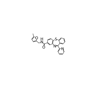 Cc1ccc(CNC(=O)c2ccc3c(c2)N=C(c2ccccn2)c2ccccc2S3)o1